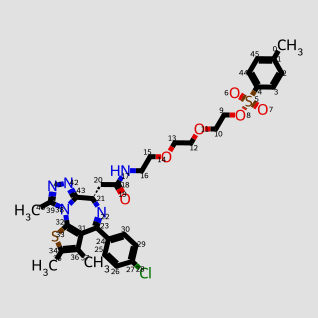 Cc1ccc(S(=O)(=O)OCCOCCOCCNC(=O)C[C@@H]2N=C(c3ccc(Cl)cc3)c3c(sc(C)c3C)-n3c(C)nnc32)cc1